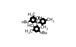 CCCCc1cc(C)c(O)c(P(c2cc(CCCC)cc(C)c2O)c2c(C)cc(C)cc2C)c1